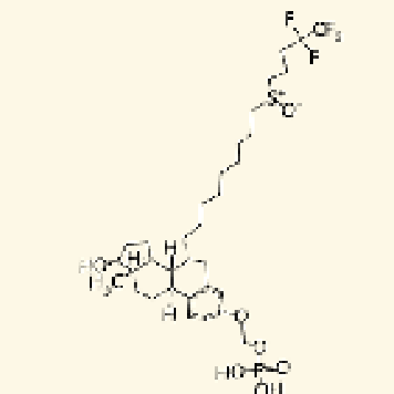 C[C@]12CC[C@@H]3c4ccc(OCOP(=O)(O)O)cc4C[C@@H](CCCCCCCCC[S+]([O-])CCCC(F)(F)C(F)(F)F)[C@H]3[C@@H]1CC[C@@H]2O